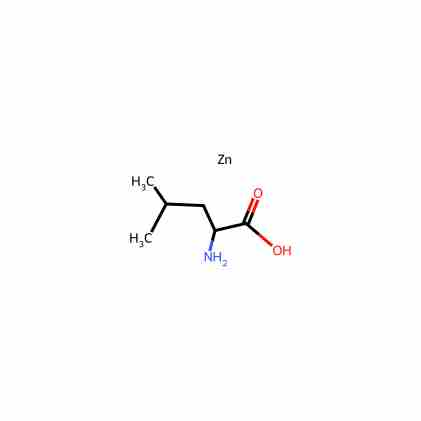 CC(C)CC(N)C(=O)O.[Zn]